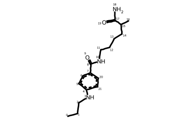 CCCNc1ccc(C(=O)NCCCCC(C)C(N)=O)cc1